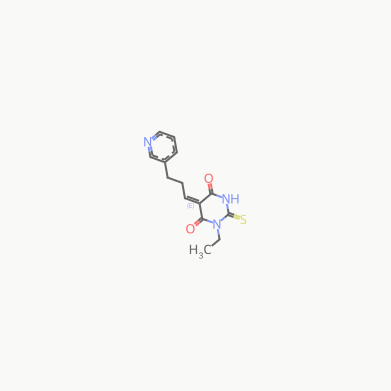 CCN1C(=O)/C(=C/CCc2cccnc2)C(=O)NC1=S